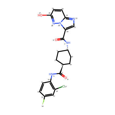 O=C(N[C@H]1CC[C@H](C(=O)Nc2ccc(F)cc2Cl)CC1)c1cnc2ccc(O)nn12